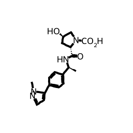 C[C@H](NC(=O)[C@@H]1C[C@@H](O)CN1C(=O)O)c1ccc(-c2ccnn2C)cc1